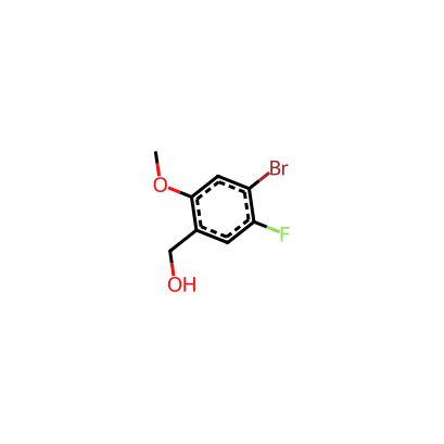 COc1cc(Br)c(F)cc1CO